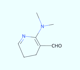 CN(C)C1=C(C=O)CCC=N1